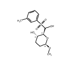 CO[C@H]1CC[C@H](O)[C@@H](C(O)S(=O)(=O)c2cccc(C)c2)O1